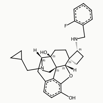 Oc1ccc2c3c1O[C@H]1[C@@]4(CC[C@H]4NCc4ccccc4F)CC[C@@]4(O)[C@@H](C2)N(CC2CC2)CC[C@]314